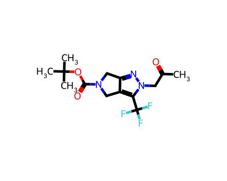 CC(=O)Cn1nc2c(c1C(F)(F)F)CN(C(=O)OC(C)(C)C)C2